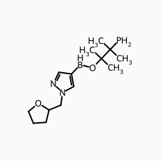 CC(C)(P)C(C)(C)OBc1cnn(CC2CCCO2)c1